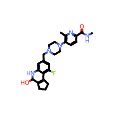 CNC(=O)c1ccc(N2CCN(Cc3cc(F)c4c(c3)NC(O)C3=C4CCC3)CC2)c(C)n1